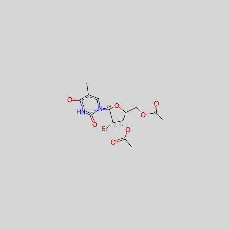 CC(=O)OCC1O[C@H](n2cc(C)c(=O)[nH]c2=O)[C@@H](Br)[C@H]1OC(C)=O